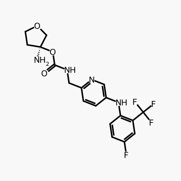 N[C@]1(OC(=O)NCc2ccc(Nc3ccc(F)cc3C(F)(F)F)cn2)CCOC1